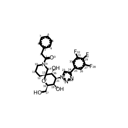 O=C(Cc1ccccc1)N1CCC[C@]2(C1)O[C@H](CO)[C@H](O)[C@H](n1cc(-c3cc(F)c(F)c(F)c3)nn1)[C@H]2O